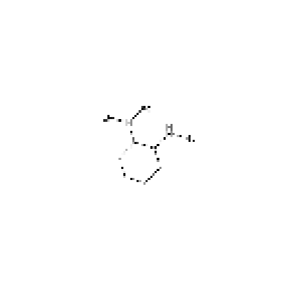 CCNC1CCCCC1N(CC)C(C)=O